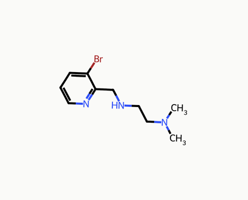 CN(C)CCNCc1ncccc1Br